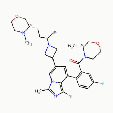 Cc1nc(F)c2c(-c3ccc(F)cc3C(=O)N3CCOC[C@H]3C)cc(C3CN(C(CC[C@H]4COCCN4C)C(C)C)C3)cn12